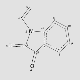 C=CN1C(=C)C(=O)c2ccccc21